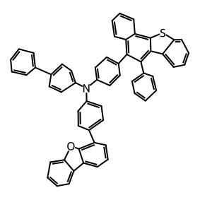 c1ccc(-c2ccc(N(c3ccc(-c4c(-c5ccccc5)c5c6ccccc6sc5c5ccccc45)cc3)c3ccc(-c4cccc5c4oc4ccccc45)cc3)cc2)cc1